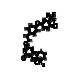 CC12CCCCN1c1cc(OCCc3ccc(Oc4ccc(Cl)c(C(F)(F)F)c4)cc3)nc(=O)n1C2